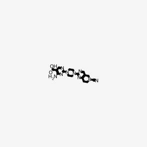 N#CB1CCc2nc(N3CCN(c4ncc(C(=O)O)c(N)n4)CC3)ncc2C1